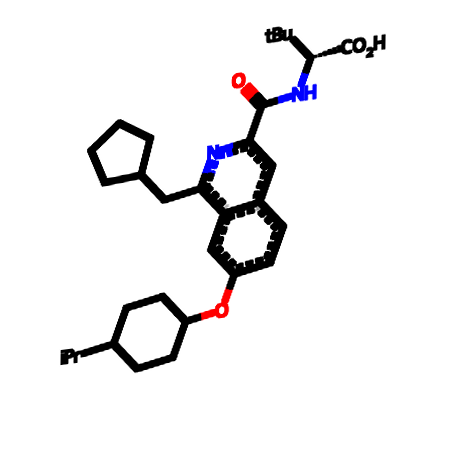 CC(C)C1CCC(Oc2ccc3cc(C(=O)N[C@@H](C(=O)O)C(C)(C)C)nc(CC4CCCC4)c3c2)CC1